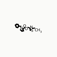 CCc1nc(COC(=O)c2cccn2Cc2ccccc2)cs1